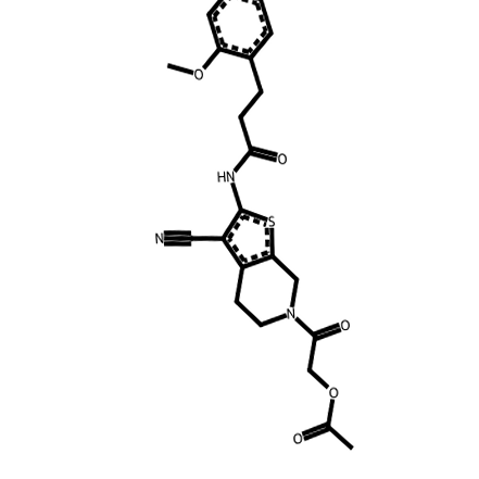 COc1ccccc1CCC(=O)Nc1sc2c(c1C#N)CCN(C(=O)COC(C)=O)C2